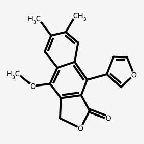 COc1c2c(c(-c3ccoc3)c3cc(C)c(C)cc13)C(=O)OC2